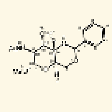 CO[C@H]1O[C@@H]2COC(c3ccccc3)O[C@H]2[C@@H](O)[C@@H]1NC(C)=O